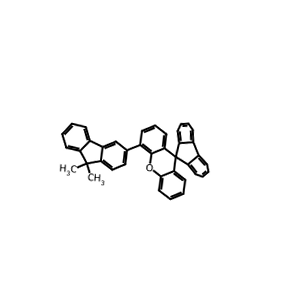 CC1(C)c2ccccc2-c2cc(-c3cccc4c3Oc3ccccc3C43c4ccccc4-c4ccccc43)ccc21